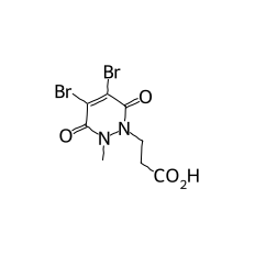 Cn1c(=O)c(Br)c(Br)c(=O)n1CCC(=O)O